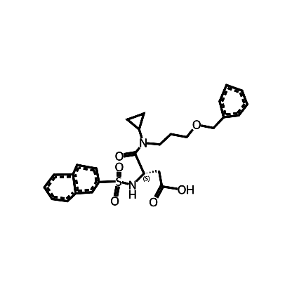 O=C(O)C[C@H](NS(=O)(=O)c1ccc2ccccc2c1)C(=O)N(CCCOCc1ccccc1)C1CC1